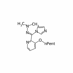 CCCCCOc1cccnc1C(=NN(C)C)n1ccnc1